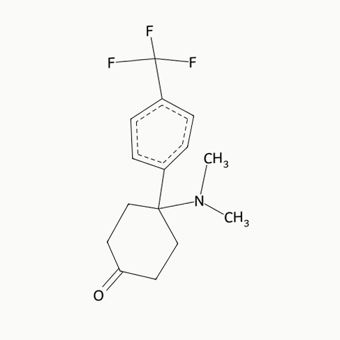 CN(C)C1(c2ccc(C(F)(F)F)cc2)CCC(=O)CC1